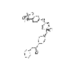 CS(=O)(=O)Nc1ccc(Oc2ccc(CN3CCC(C(=O)CC4CCCCC4)CC3)cc2)cc1.Cl